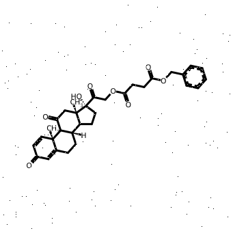 C[C@]12C=CC(=O)C=C1CC[C@@H]1C2C(=O)C[C@@]2(C)C1CC[C@]2(O)C(=O)COC(=O)CCC(=O)OCc1ccccc1